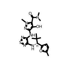 Cc1ccc([C@H](Nc2nsnc2Nc2nn(C)c(C(=O)N(C)C)c2O)C(C)(C)C)o1